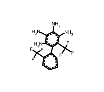 Nc1c(N)c(N)c(C(F)(F)F)c(-c2ccccc2C(F)(F)F)c1N